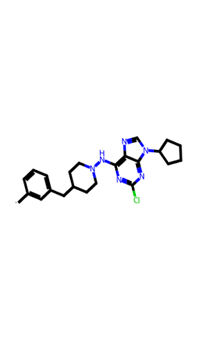 [CH2]c1cccc(CC2CCN(Nc3nc(Cl)nc4c3ncn4C3CCCC3)CC2)c1